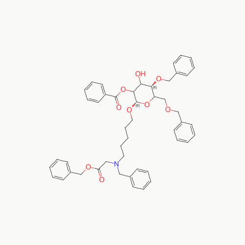 O=C(CN(CCCCCO[C@@H]1OC(COCc2ccccc2)[C@H](OCc2ccccc2)C(O)C1OC(=O)c1ccccc1)Cc1ccccc1)OCc1ccccc1